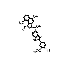 COc1cc(-c2nc3cc(C(O)N4C[C@@H](CCl)c5c4cc(O)c4cccc(C)c54)ccc3[nH]2)ccc1O